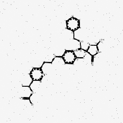 CCC(=O)OC(C)c1ccc(CCOc2ccc(C[C@]3(C(=O)OCc4ccccc4)SC(O)NC3=O)cc2)nc1